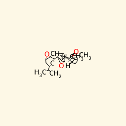 C=C(C)C1CC2OC2(C)C(C23CCC(C4C5OC5(C)C5C[C@H]4C5(C)C)(C2)C2OC23)C1